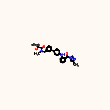 CCCCCCCC(=O)C(=O)N(C)Cc1cccc(-c2ccc(Nc3ccccc3C(=O)n3cnc(C)c3)cc2)c1